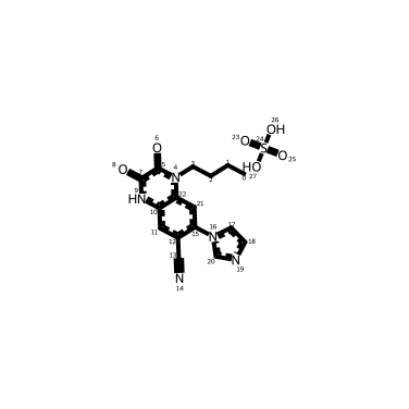 CCCCn1c(=O)c(=O)[nH]c2cc(C#N)c(-n3ccnc3)cc21.O=S(=O)(O)O